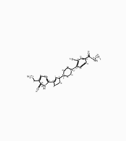 CCc1cnc(C2=CC(N3CCN(c4ccc(C(=O)NC)nc4F)CC3)CC2)[nH]c1=O